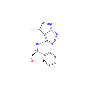 OC[C@@H](Nc1ncnc2[nH]cc(C(F)(F)F)c12)c1ccccc1